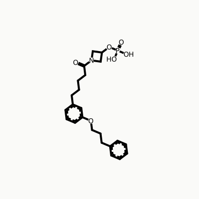 O=C(CCCCc1cccc(OCCCc2ccccc2)c1)N1CC(OP(=O)(O)O)C1